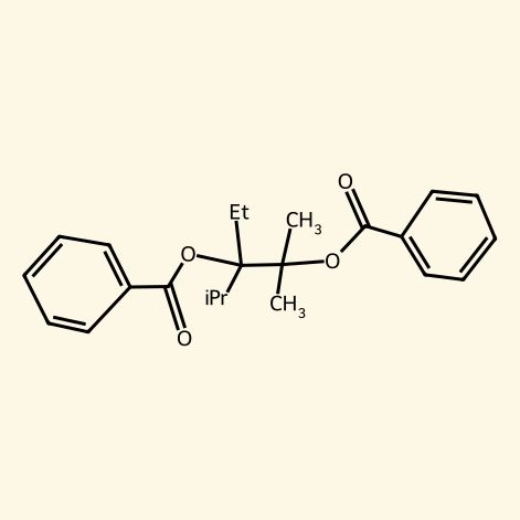 CCC(OC(=O)c1ccccc1)(C(C)C)C(C)(C)OC(=O)c1ccccc1